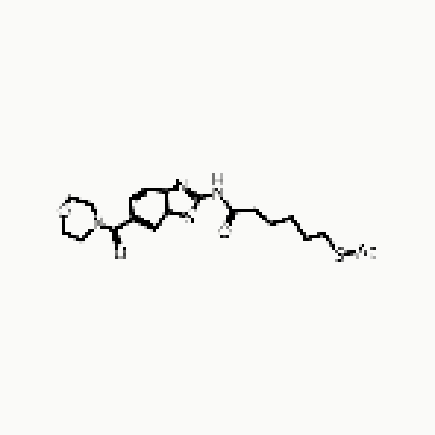 CC(=O)SCCCCCC(=O)NC1=NC2C=CC(C(=O)N3CCOCC3)=CC2S1